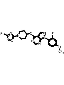 CC(C)c1noc(N2CCC(Oc3ncnc4c3cnn4-c3ccc(OC(F)(F)F)cc3F)CC2)n1